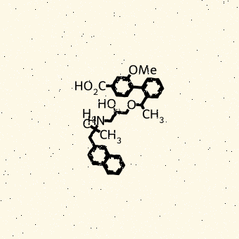 COc1cc(C(=O)O)ccc1-c1ccccc1C(C)OC[C@@H](O)CNC(C)(C)Cc1ccc2ccccc2c1